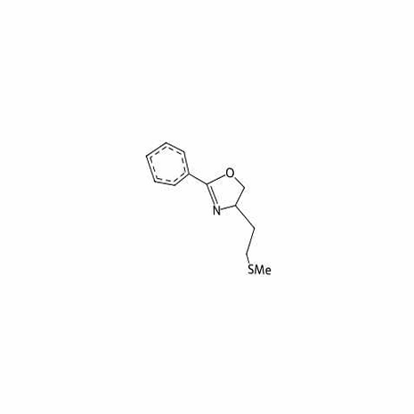 CSCCC1COC(c2ccccc2)=N1